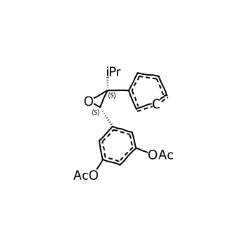 CC(=O)Oc1cc(OC(C)=O)cc([C@@H]2O[C@]2(c2ccccc2)C(C)C)c1